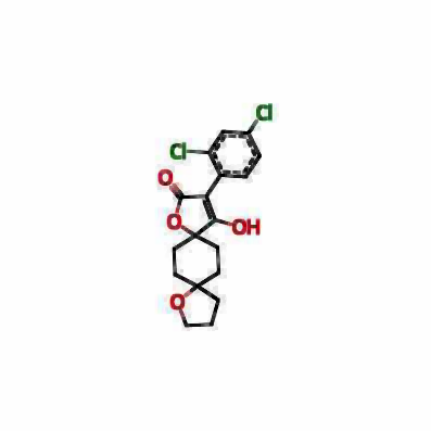 O=C1OC2(CCC3(CCCO3)CC2)C(O)=C1c1ccc(Cl)cc1Cl